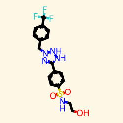 O=S(=O)(NCCO)c1ccc(C2=NN(Cc3ccc(C(F)(F)F)cc3)NN2)cc1